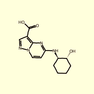 O=C(O)c1cnn2ccc(N[C@@H]3CCCC[C@H]3O)nc12